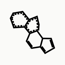 [C]1=Cc2c(ccc3ccccc23)C2C=CC=C12